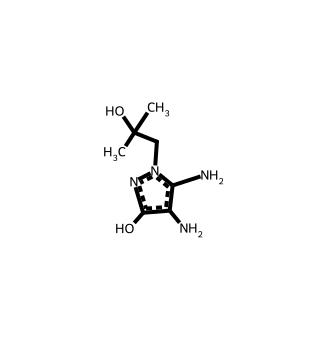 CC(C)(O)Cn1nc(O)c(N)c1N